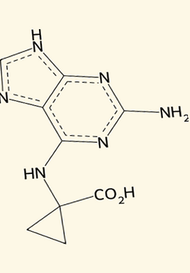 Nc1nc(NC2(C(=O)O)CC2)c2nc[nH]c2n1